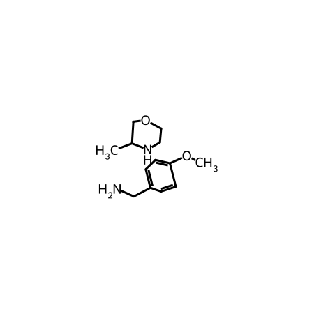 CC1COCCN1.COc1ccc(CN)cc1